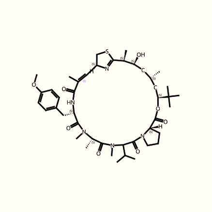 COc1ccc(C[C@@H]2NC(=O)/C(C)=C/[C@H]3CSC(=N3)[C@@H](C)[C@@H](O)C[C@H](C)C[C@@H](C(C)(C)C)OC(=O)[C@@H]3CCCN3C(=O)C(C(C)C)N(C)C(=O)[C@H](C)N(C)C2=O)cc1